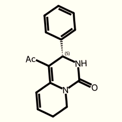 CC(=O)C1=C2C=CCCN2C(=O)N[C@H]1c1ccccc1